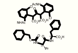 CC(=O)Nc1cccc(Cl)c1C(C(=O)O)C(=O)C(C(=O)O)c1c(Cl)cccc1NC(C)=O.CC(C)[C@H](NC(=O)OCc1ccccc1)C(=O)N[C@@H](Cc1ccccc1)C(=O)O